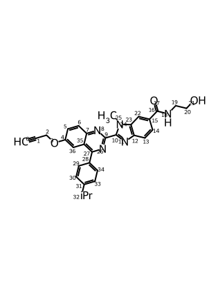 C#CCOc1ccc2nc(-c3nc4ccc(C(=O)NCCO)cc4n3C)nc(-c3ccc(C(C)C)cc3)c2c1